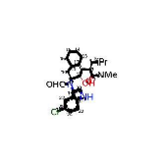 CNC(=O)[C@H](CC(C)C)C[C@H](O)[C@H](CC1CCCCC1)N(C=O)c1c[nH]c2ccc(Cl)cc12